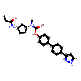 CCC(=O)N[C@H]1CC[C@@H](N(C)C(=O)Oc2ccc(-c3ccc(-c4ccn[nH]4)cc3)cc2)C1